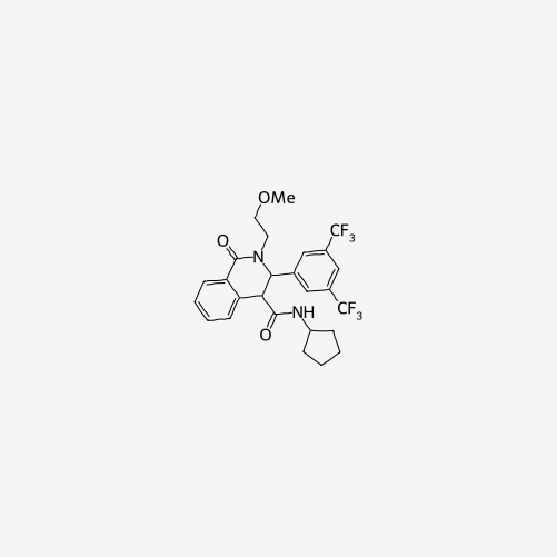 COCCN1C(=O)c2ccccc2C(C(=O)NC2CCCC2)C1c1cc(C(F)(F)F)cc(C(F)(F)F)c1